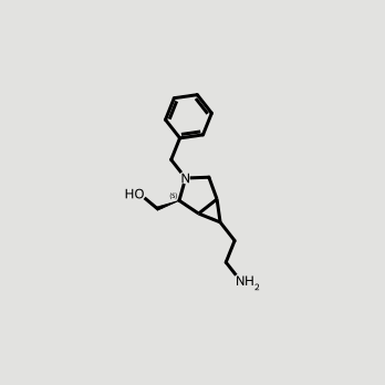 NCCC1C2CN(Cc3ccccc3)[C@H](CO)C12